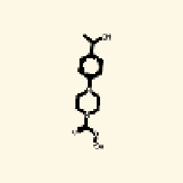 CC(C#N)c1ccc(N2CCN(C(=O)OC(C)(C)C)CC2)cc1